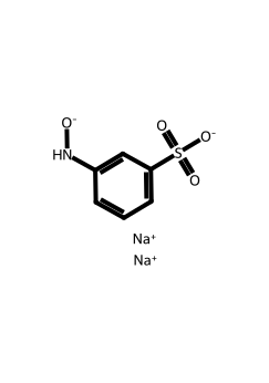 O=S(=O)([O-])c1cccc(N[O-])c1.[Na+].[Na+]